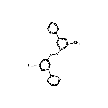 Cc1cc(SSc2cc(C)cc(-c3ccccc3)n2)nc(-c2ccccc2)c1